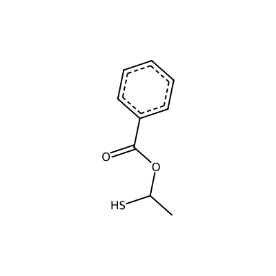 CC(S)OC(=O)c1ccccc1